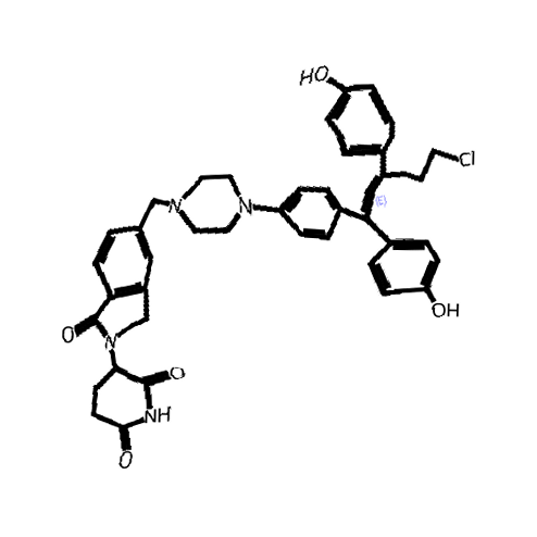 O=C1CCC(N2Cc3cc(CN4CCN(c5ccc(/C(=C(/CCCl)c6ccc(O)cc6)c6ccc(O)cc6)cc5)CC4)ccc3C2=O)C(=O)N1